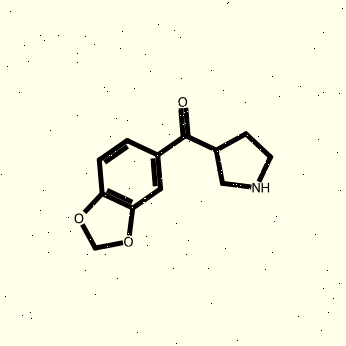 O=C(c1ccc2c(c1)OCO2)C1CCNC1